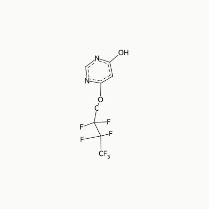 Oc1cc(OCC(F)(F)C(F)(F)C(F)(F)F)ncn1